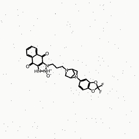 O=C1C2=C(C(=O)c3ccccc31)N(CCCN1CC3CC1CN3c1ccc3c(c1)OC(F)(F)O3)[N@@H+]([O-])N2